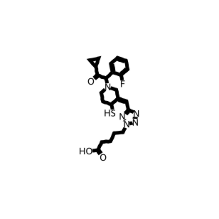 O=C(O)CCCCn1nnc(C=C2CN(C(C(=O)C3CC3)c3ccccc3F)CCC2S)n1